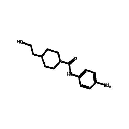 Nc1ccc(NC(=O)N2CCN(CCO)CC2)cc1